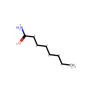 [CH2]CCCCCCC(N)=O